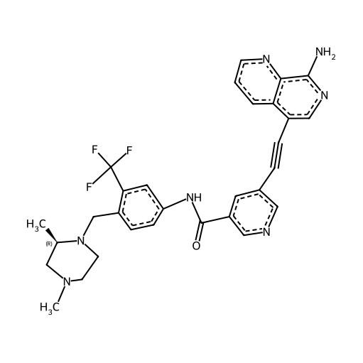 C[C@@H]1CN(C)CCN1Cc1ccc(NC(=O)c2cncc(C#Cc3cnc(N)c4ncccc34)c2)cc1C(F)(F)F